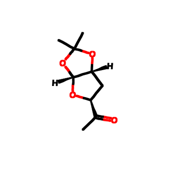 CC(=O)[C@@H]1C[C@H]2OC(C)(C)O[C@H]2O1